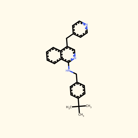 CC(C)(C)c1ccc(CNc2ncc(Cc3ccncc3)c3ccccc23)cc1